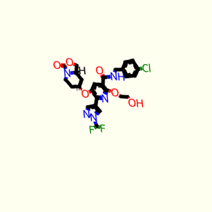 O=C(NCc1ccc(Cl)cc1)c1cc(O[C@H]2CCN3C(=O)OC[C@@H]3C2)c(-c2cnn(C(F)F)c2)nc1OCCO